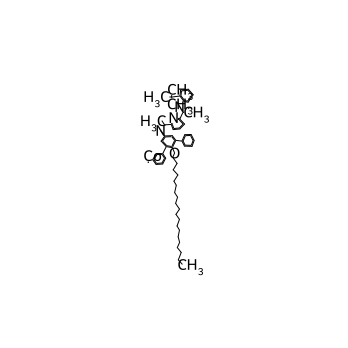 CCCCCCCCCCCCCCCCCCCCOc1c(-c2ccccc2)cc(N=C(C)c2cccc(C(C)=Nc3ccccc3C(C)(C)C)n2)cc1-c1ccccc1.[Co]